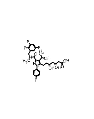 CC(C)c1c(C(=O)N(C)Cc2cc(F)cc(F)c2F)nn(-c2ccc(F)cc2)c1CC[C@@H](O)C[C@@H](O)CC(=O)O